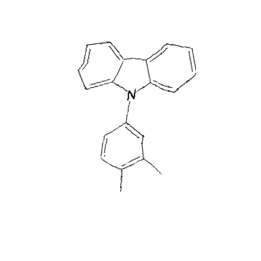 Cc1ccc(-n2c3ccccc3c3ccccc32)cc1C